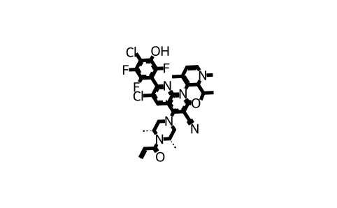 C=CC(=O)N1[C@H](C)CN(c2c(C#N)c(=O)n(C3=C(C)C=CN(C)C3C(C)C)c3nc(-c4c(F)c(O)c(Cl)c(F)c4F)c(Cl)cc23)C[C@@H]1C